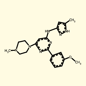 COc1cccc(-c2nc(Nc3cc(C)[nH]n3)cc(N3CCN(C)CC3)n2)c1